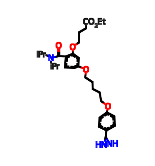 CCOC(=O)CCCOc1cc(OCCCCCOc2ccc(C3NN3)cc2)ccc1C(=O)N(C(C)C)C(C)C